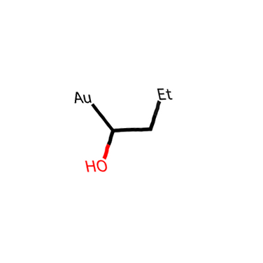 [CH2]CC[CH](O)[Au]